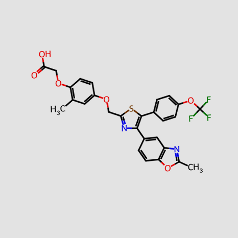 Cc1nc2cc(-c3nc(COc4ccc(OCC(=O)O)c(C)c4)sc3-c3ccc(OC(F)(F)F)cc3)ccc2o1